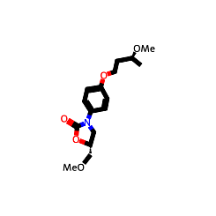 COC[C@H]1CN(c2ccc(OCC[C@H](C)OC)cc2)C(=O)O1